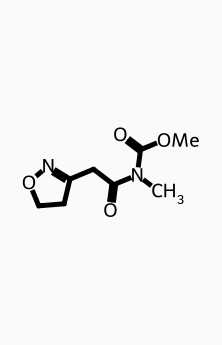 COC(=O)N(C)C(=O)CC1=NOCC1